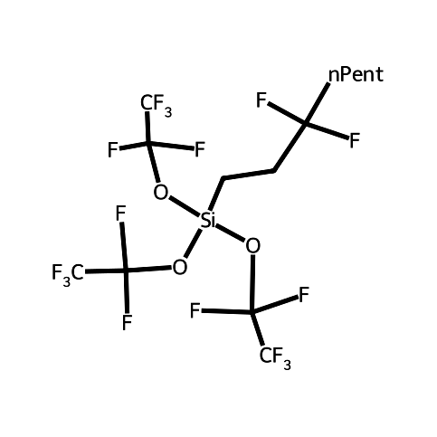 CCCCCC(F)(F)CC[Si](OC(F)(F)C(F)(F)F)(OC(F)(F)C(F)(F)F)OC(F)(F)C(F)(F)F